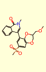 COCC1COc2cc(S(C)(=O)=O)cc(-c3cn(C)c(=O)c4ccccc34)c2O1